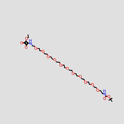 CCOc1c(NCCOCCOCCOCCOCCOCCOCCOCCOCCOCCOCCOCCNC(=O)OC(C)(C)C)c(=O)c1=O